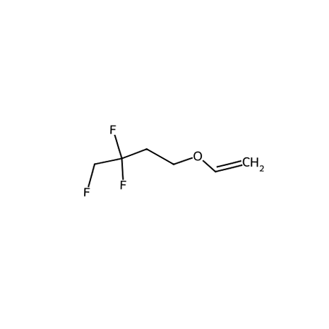 C=COCCC(F)(F)CF